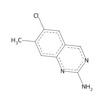 Cc1cc2nc(N)ncc2cc1Cl